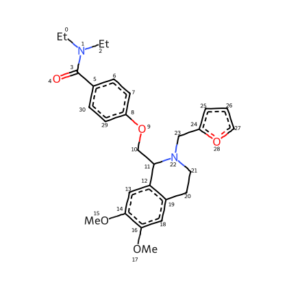 CCN(CC)C(=O)c1ccc(OCC2c3cc(OC)c(OC)cc3CCN2Cc2ccco2)cc1